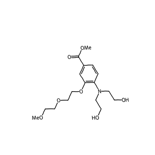 COCCOCCOc1cc(C(=O)OC)ccc1N(CCO)CCO